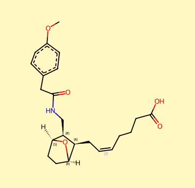 COc1ccc(CC(=O)NC[C@H]2[C@@H](C/C=C\CCCC(=O)O)[C@H]3CC[C@@H]2O3)cc1